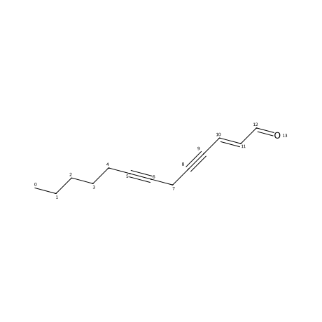 CCCCCC#CCC#C/C=C/C=O